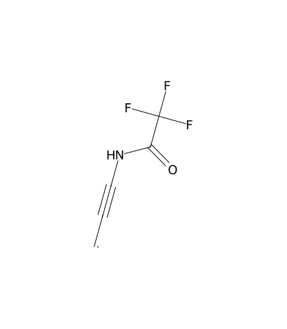 [CH2]C#CNC(=O)C(F)(F)F